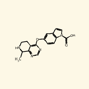 CC1NCCc2c(Oc3ccc4c(ccn4C(=O)O)c3)ncnc21